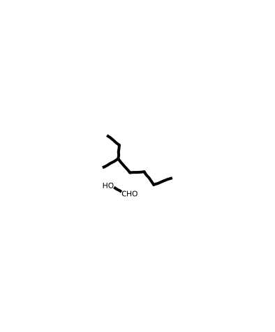 CCCCC(C)CC.O=CO